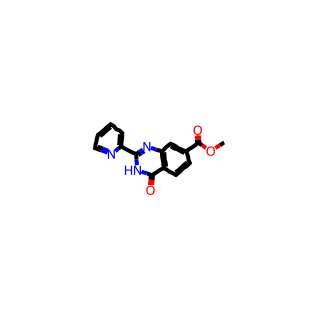 COC(=O)c1ccc2c(=O)[nH]c(-c3ccccn3)nc2c1